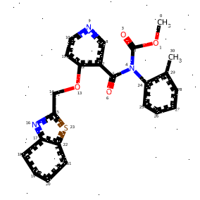 COC(=O)N(C(=O)c1cnccc1OCc1nc2ccccc2s1)c1ccccc1C